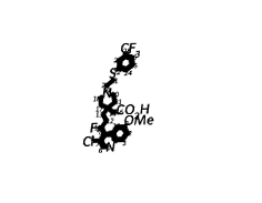 COc1ccc2ncc(Cl)c([C@H](F)CCC3(CC(=O)O)CCN(CCSc4cccc(C(F)(F)F)c4)CC3)c2c1